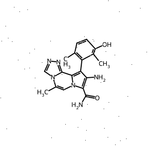 Cc1ccc(O)c(C)c1-c1c(N)c(C(N)=O)n2cc(C)n3cnnc3c12